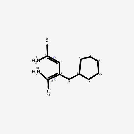 N/C(Cl)=C\C(CC1CCCCC1)=C(/N)Cl